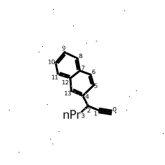 [C]#CC(CCC)c1ccc2ccccc2c1